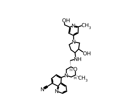 Cc1cc(N2CCC(NC[C@H]3CN(c4ccc(C#N)c5ncccc45)C[C@@H](C)O3)C(O)C2)cc(CO)n1